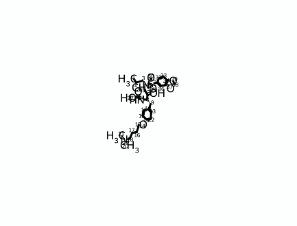 CC(C)CN(C[C@@H](O)[C@H](Cc1ccc(OCCCCN(C)C)cc1)NC(=O)O)S(=O)(=O)c1ccc2c(c1)OCO2